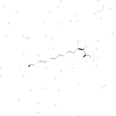 C=COCCOCCOCCC=C(C)C(=O)O